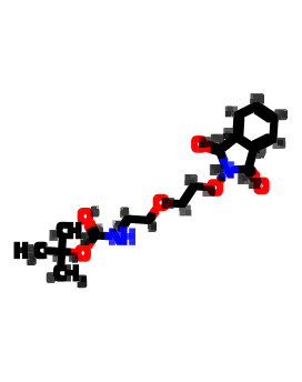 CC(C)(C)OC(=O)NCCOCCON1C(=O)c2ccccc2C1=O